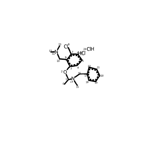 CC(Oc1cccc(Cl)c1CN(C)C)N(C)Cc1ccccc1.Cl.Cl